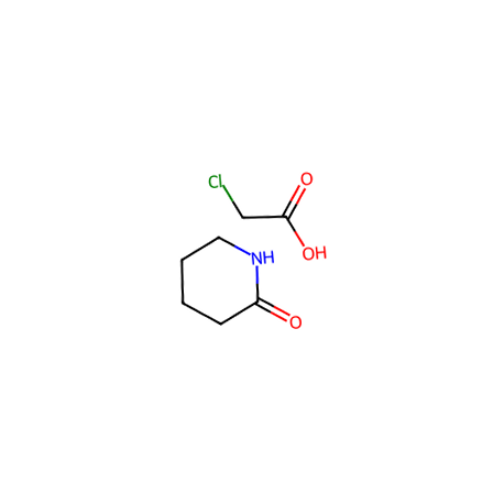 O=C(O)CCl.O=C1CCCCN1